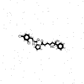 CC(C)C(C#N)(CCCCC(=O)N1CCC[C@@H]1C(=O)NCc1ccc(Cl)cc1Cl)c1ccccc1